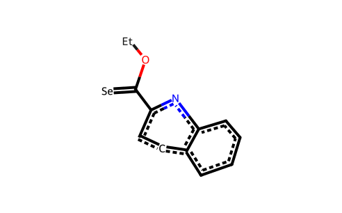 CCOC(=[Se])c1ccc2ccccc2n1